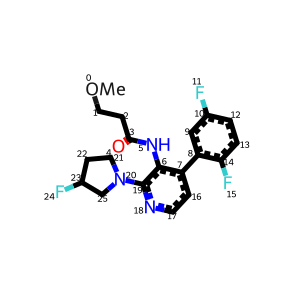 COCCC(=O)Nc1c(-c2cc(F)ccc2F)ccnc1N1CCC(F)C1